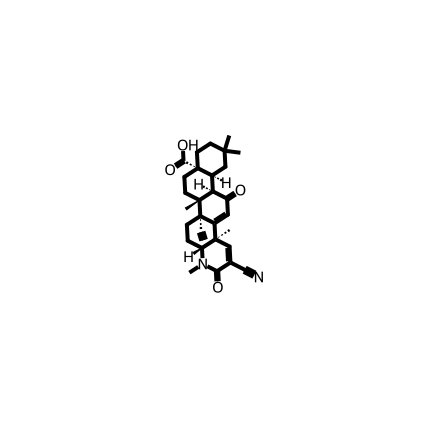 C#C[C@@]12CC[C@H]3N(C)C(=O)C(C#N)=C[C@]3(C)C1=CC(=O)[C@@H]1[C@@H]3CC(C)(C)CC[C@]3(C(=O)O)CC[C@]12C